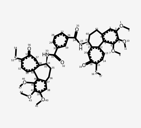 COc1cc2c(c(OC)c1OC)-c1ccc(SC)c(=O)cc1[C@@H](NC(=O)c1cccc(C(=O)N[C@H]3CCc4cc(OC)c(OC)c(OC)c4-c4ccc(SC)c(=O)cc43)c1)CC2